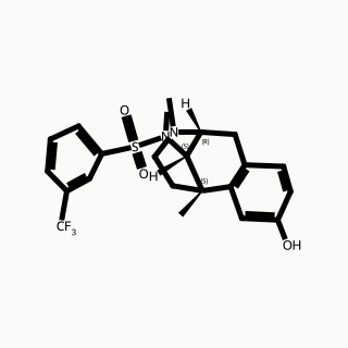 CN1CC[C@@]2(C)c3cc(O)ccc3C[C@@H]1[C@H]2N(C)S(=O)(=O)c1cccc(C(F)(F)F)c1